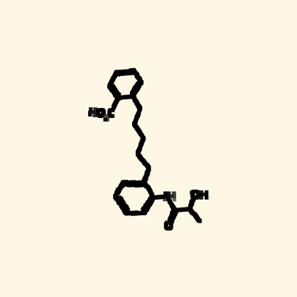 CC(O)C(=O)Nc1ccccc1CCCCCc1ccccc1C(=O)O